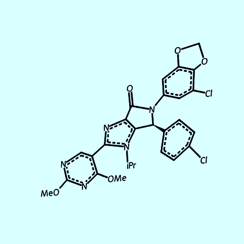 COc1ncc(-c2nc3c(n2C(C)C)[C@H](c2ccc(Cl)cc2)N(c2cc(Cl)c4c(c2)OCO4)C3=O)c(OC)n1